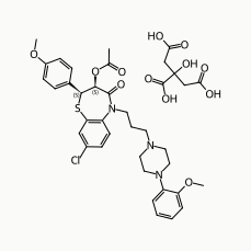 COc1ccc([C@@H]2Sc3cc(Cl)ccc3N(CCCN3CCN(c4ccccc4OC)CC3)C(=O)[C@@H]2OC(C)=O)cc1.O=C(O)CC(O)(CC(=O)O)C(=O)O